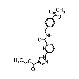 CCOC(=O)c1cnn(-c2cccc(C(=O)NCc3ccc(S(C)(=O)=O)cc3)n2)c1